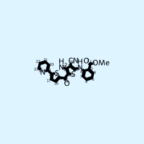 COC(=O)c1ccccc1Nc1sc(C(=O)c2ccc(-c3ccccn3)s2)c(N)c1C#N